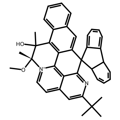 CO[C@@]1(C)[n+]2ccc3cc(C(C)(C)C)nc4c3c2-c2c(cc3ccccc3c2C1(C)O)C41c2ccccc2C2C=CC=CC21